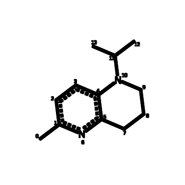 Cc1ccc2c(n1)CCCN2C(C)C